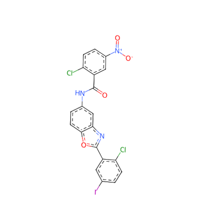 O=C(Nc1ccc2oc(-c3cc(I)ccc3Cl)nc2c1)c1cc([N+](=O)[O-])ccc1Cl